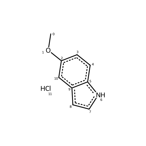 COc1ccc2[nH]ccc2c1.Cl